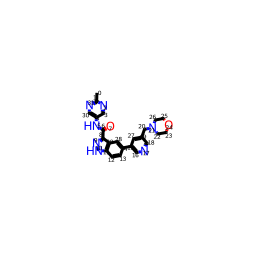 Cc1ncc(NC(=O)c2n[nH]c3ccc(-c4cncc(CN5CCOCC5)c4)cc23)cn1